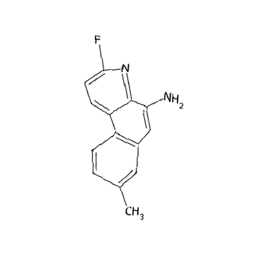 Cc1ccc2c(c1)cc(N)c1nc(F)ccc12